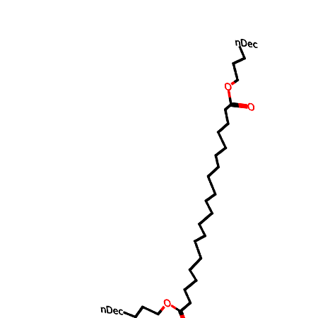 CCCCCCCCCCCCCOC(=O)CCCCCCCCCCCCCCCCCCC(=O)OCCCCCCCCCCCCC